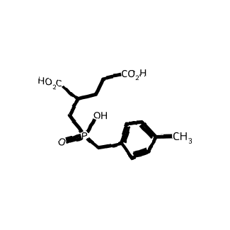 Cc1ccc(CP(=O)(O)CC(CCC(=O)O)C(=O)O)cc1